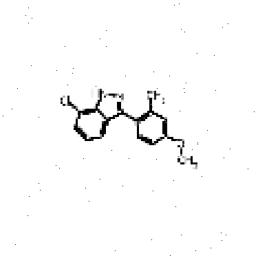 COc1ccc(-c2n[nH]c3c(Cl)cccc23)c(C)c1